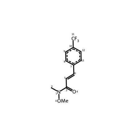 CON(C)C(=O)/C=C/c1ccc(C(F)(F)F)cc1